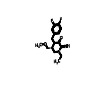 CCN1C[C@H](COC)C(Cc2ccc(F)c(F)c2)C(=O)C1=N